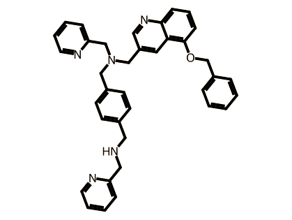 c1ccc(COc2cccc3ncc(CN(Cc4ccc(CNCc5ccccn5)cc4)Cc4ccccn4)cc23)cc1